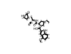 CC[C@@H]1C[C@@H](C(=O)N[C@H](C#N)C[C@@H]2CCNC2=O)N(C(O)c2cc3c(OC)cccc3[nH]2)C1